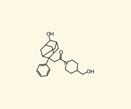 O=C(CC1(c2ccccc2)C2CC3CC1CC(C2)C3O)N1CCC(CO)CC1